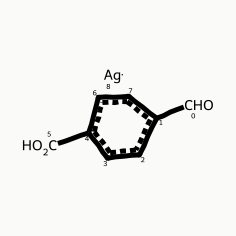 O=Cc1ccc(C(=O)O)cc1.[Ag]